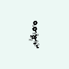 CCCC1(C(=O)NCc2ccc(Oc3ccccc3)cc2)CC(C(=O)OC(C)(C)OC(=O)CC)C1C(=O)O